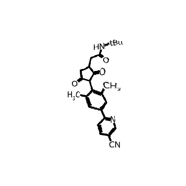 Cc1cc(-c2ccc(C#N)cn2)cc(C)c1C1C(=O)CC(CC(=O)NC(C)(C)C)C1=O